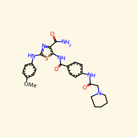 COc1ccc(Nc2nc(C(N)=O)c(NC(=O)c3ccc(NC(=O)CN4CCCCC4)cc3)s2)cc1